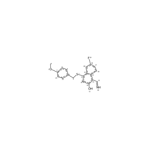 COc1ccc(CSc2nc(O)c(C=N)c3ccc(F)cc23)cc1